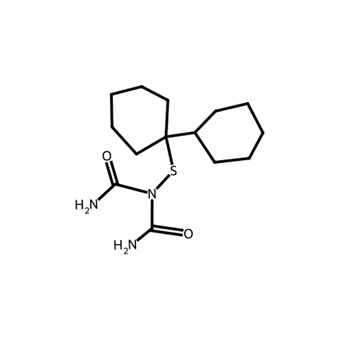 NC(=O)N(SC1(C2CCCCC2)CCCCC1)C(N)=O